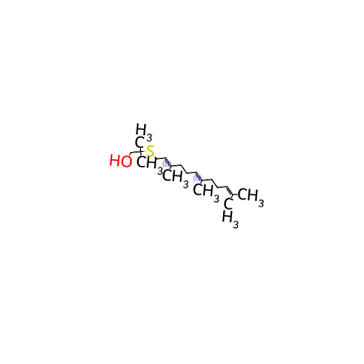 CC(C)=CCC/C(C)=C/CC/C(C)=C/CSC(C)(C)CO